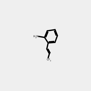 Nc1ccccc1C=CC(F)(F)F